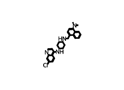 CN(C)c1ccc(CN[C@H]2CC[C@@H](Nc3ccnc4cc(Cl)ccc34)CC2)c2ccccc12